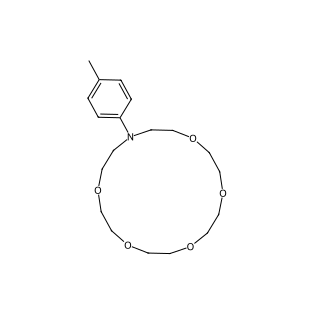 Cc1ccc(N2CCOCCOCCOCCOCCOCC2)cc1